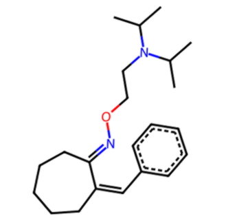 CC(C)N(CCO/N=C1\CCCCC\C1=C\c1ccccc1)C(C)C